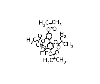 C=C(C)C(=O)Oc1ccc(-c2cc(C(F)(F)F)c(OC(=O)C(=C)C)cc2OC(=O)C(=C)C)c(OC(=O)C(=C)C)c1